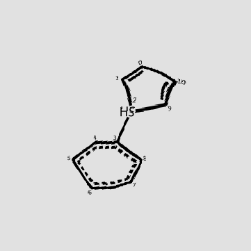 [C]1=C[SH](c2ccccc2)C=C1